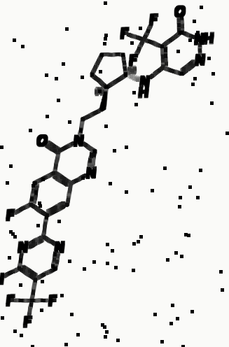 Nc1nc(-c2cc3ncn(CC[C@H]4CCC[C@@H]4Nc4cn[nH]c(=O)c4C(F)(F)F)c(=O)c3cc2F)ncc1C(F)(F)F